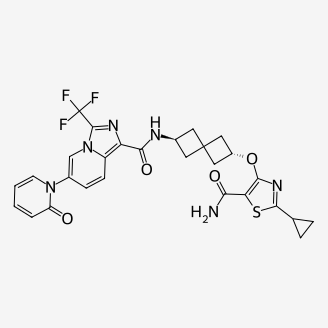 NC(=O)c1sc(C2CC2)nc1O[C@H]1CC2(C[C@H](NC(=O)c3nc(C(F)(F)F)n4cc(-n5ccccc5=O)ccc34)C2)C1